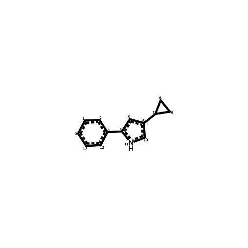 c1ccc(-c2cc(C3CC3)c[nH]2)cc1